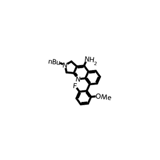 CCCCN1Cc2nc3c(-c4c(F)cccc4OC)cccc3c(N)c2C1